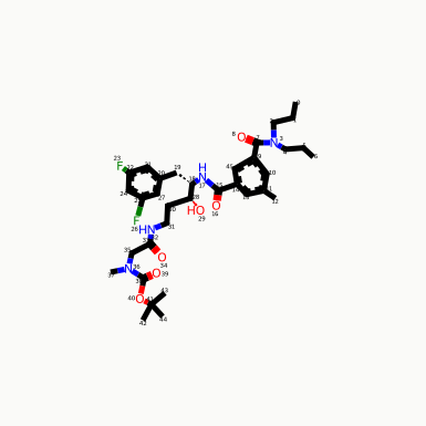 CCCN(CCC)C(=O)c1cc(C)cc(C(=O)N[C@@H](Cc2cc(F)cc(F)c2)[C@H](O)CCNC(=O)CN(C)C(=O)OC(C)(C)C)c1